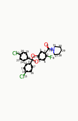 O=C(c1cc2c(cc1F)OC(c1ccc(Cl)cc1)(c1ccc(Cl)cc1)O2)N1CCCCC1